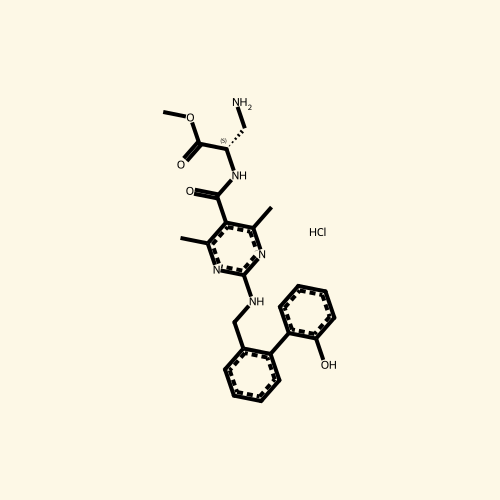 COC(=O)[C@H](CN)NC(=O)c1c(C)nc(NCc2ccccc2-c2ccccc2O)nc1C.Cl